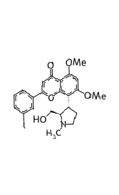 COc1cc(OC)c2c(=O)cc(-c3cccc(I)c3)oc2c1[C@@H]1CCN(C)[C@H]1CO